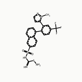 Cn1nccc1-c1cc(C(F)(F)F)ccc1-c1cccc2cc(S(=O)(=O)NC(=N)SN)ccc12